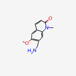 COc1cc2ccc(=O)n(C)c2cc1CN